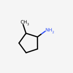 C[C]1CCCC1N